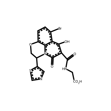 O=C(O)CNC(=O)c1c(O)c2c(Br)ccc3c2n(c1=O)C(c1cncs1)CO3